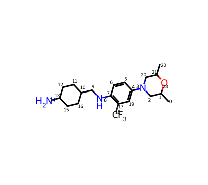 CC1CN(c2ccc(NCC3CCC(N)CC3)c(C(F)(F)F)c2)CC(C)O1